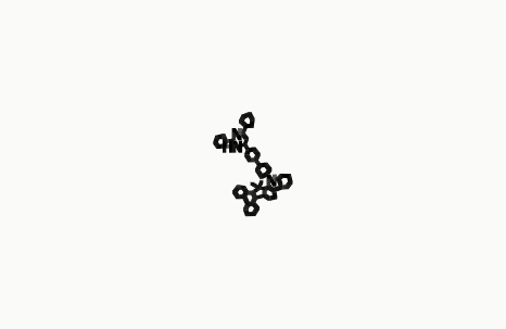 CC1(C)c2c(c3ccccc3c3ccccc23)-c2ccc3c4ccccc4n(-c4ccc(-c5ccc(C6C=C(c7ccccc7)N=C(c7ccccc7)N6)cc5)cc4)c3c21